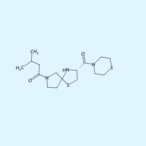 CC(C)CC(=O)N1CCC2(C1)N[C@H](C(=O)N1CCSCC1)CS2